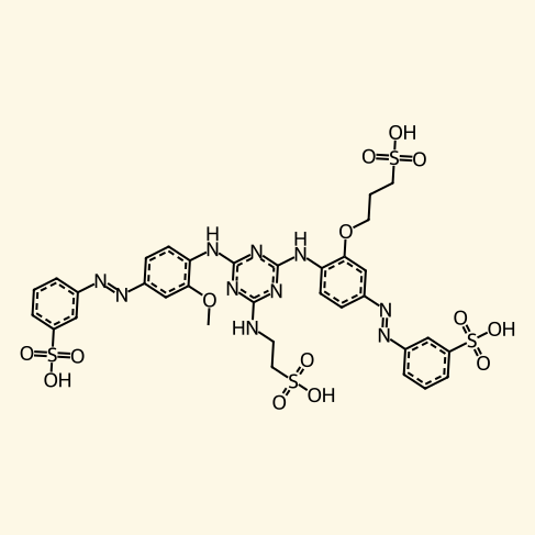 COc1cc(N=Nc2cccc(S(=O)(=O)O)c2)ccc1Nc1nc(NCCS(=O)(=O)O)nc(Nc2ccc(N=Nc3cccc(S(=O)(=O)O)c3)cc2OCCCS(=O)(=O)O)n1